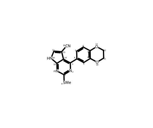 CSc1nc(-c2ccc3c(c2)OCCO3)c2c(C#N)c[nH]c2n1